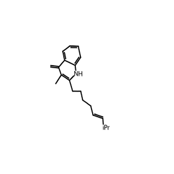 C=C1C(C)=C(CCCC/C=C/C(C)C)Nc2ccccc21